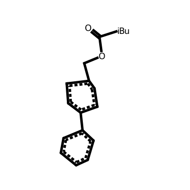 CCC(C)C(=O)OCc1ccc(-c2ccccc2)cc1